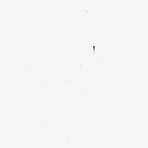 CN1CC[C@H](c2c(O)cc(O)c3c(=O)cc(-c4cc(F)c(Cl)cc4Cl)oc23)[C@H]1COS(C)(=O)=O